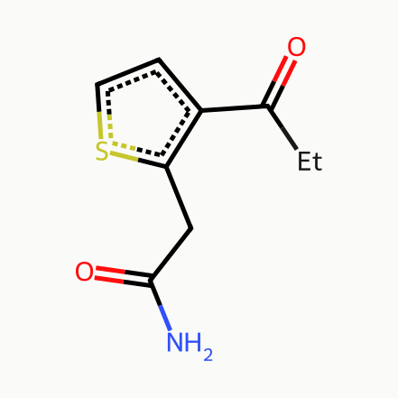 CCC(=O)c1ccsc1CC(N)=O